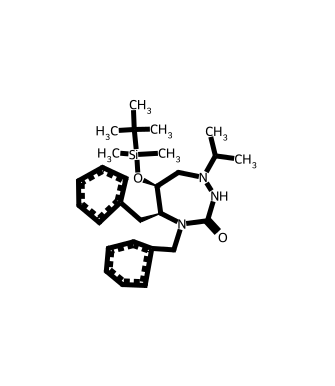 CC(C)N1C[C@H](O[Si](C)(C)C(C)(C)C)[C@H](Cc2ccccc2)N(Cc2ccccc2)C(=O)N1